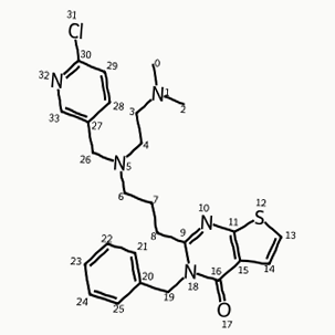 CN(C)CCN(CCCc1nc2sccc2c(=O)n1Cc1ccccc1)Cc1ccc(Cl)nc1